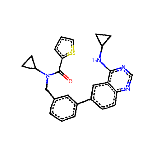 O=C(c1cccs1)N(Cc1cccc(-c2ccc3ncnc(NC4CC4)c3c2)c1)C1CC1